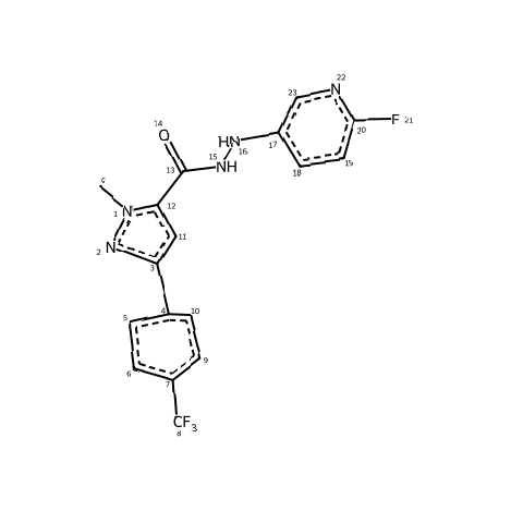 Cn1nc(-c2ccc(C(F)(F)F)cc2)cc1C(=O)NNc1ccc(F)nc1